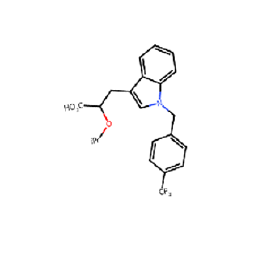 CC(C)OC(Cc1cn(Cc2ccc(C(F)(F)F)cc2)c2ccccc12)C(=O)O